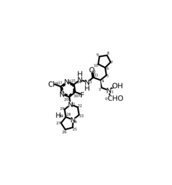 O=CN(O)C[C@H](CC1CCCC1)C(=O)NNc1nc(Cl)nc(N2CCN3CCC[C@H]3C2)c1F